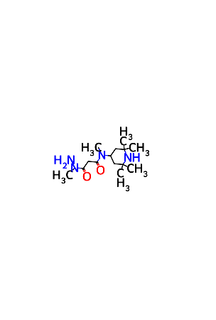 CN(N)C(=O)CC(=O)N(C)C1CC(C)(C)NC(C)(C)C1